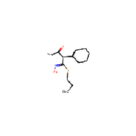 CNC(=O)C(C(=NO)SCCSC)C1CCCCC1